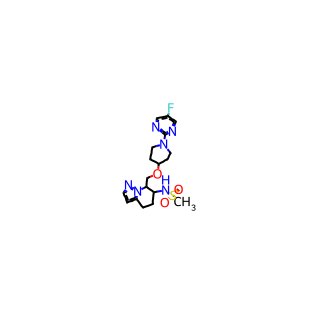 CS(=O)(=O)NC1CCc2ccnn2C1COC1CCN(c2ncc(F)cn2)CC1